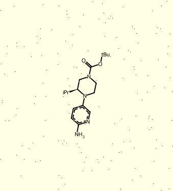 CC(C)[C@H]1CN(C(=O)OC(C)(C)C)CCN1c1ccc(N)nc1